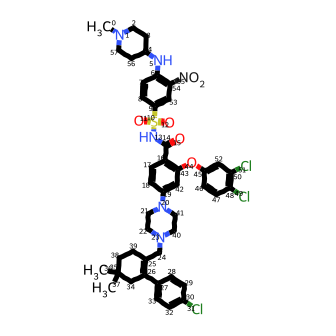 CN1CCC(Nc2ccc(S(=O)(=O)NC(=O)c3ccc(N4CCN(CC5=C(c6ccc(Cl)cc6)CC(C)(C)CC5)CC4)cc3Oc3ccc(Cl)c(Cl)c3)cc2[N+](=O)[O-])CC1